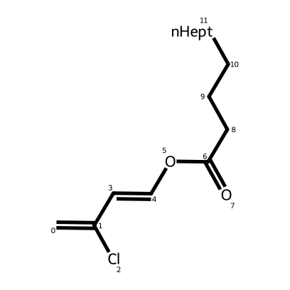 C=C(Cl)C=COC(=O)CCCCCCCCCC